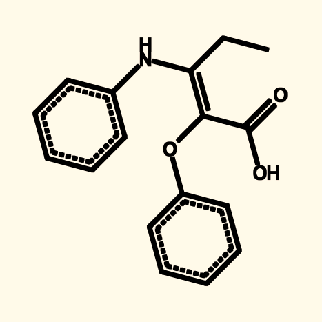 CCC(Nc1ccccc1)=C(Oc1ccccc1)C(=O)O